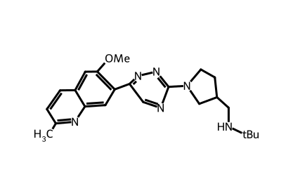 COc1cc2ccc(C)nc2cc1-c1cnc(N2CCC(CNC(C)(C)C)C2)nn1